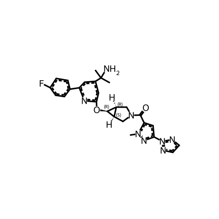 Cn1nc(-n2nccn2)cc1C(=O)N1C[C@@H]2[C@H](C1)[C@@H]2Oc1cc(C(C)(C)N)cc(-c2ccc(F)cc2)n1